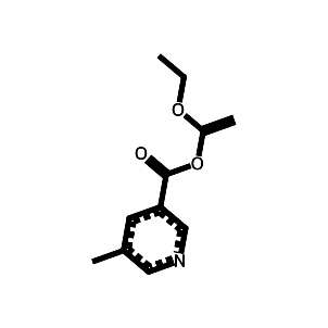 C=C(OCC)OC(=O)c1cncc(C)c1